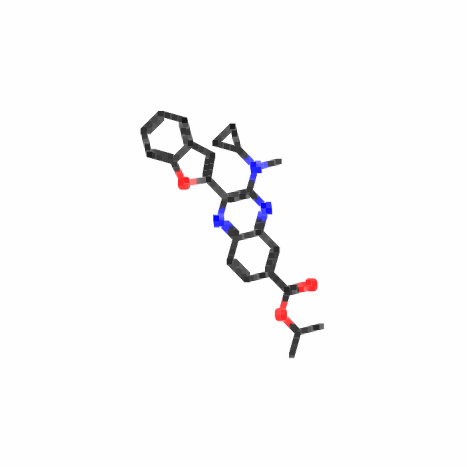 CC(C)OC(=O)c1ccc2nc(-c3cc4ccccc4o3)c(N(C)C3CC3)nc2c1